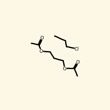 CC(=O)OCCCOC(C)=O.CCCCl